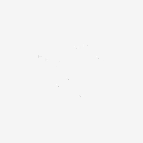 Cl.Cl.Cl.NC1=CC(N)N(N)C=C1N.O